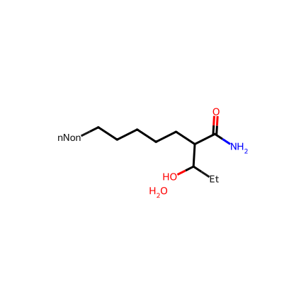 CCCCCCCCCCCCCCC(C(N)=O)C(O)CC.O